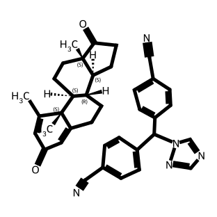 CC1=CC(=O)C=C2CC[C@@H]3[C@H](CC[C@]4(C)C(=O)CC[C@@H]34)[C@@]12C.N#Cc1ccc(C(c2ccc(C#N)cc2)n2cncn2)cc1